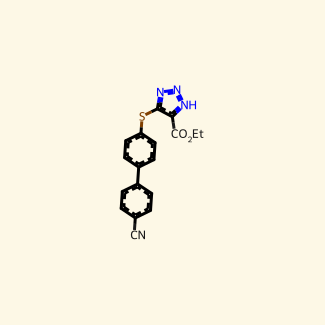 CCOC(=O)c1[nH]nnc1Sc1ccc(-c2ccc(C#N)cc2)cc1